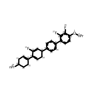 CCCOc1ccc(-c2ccc(C3C=C(F)C(C4=CCC(CCC)CC4)=CC3)cc2)c(F)c1F